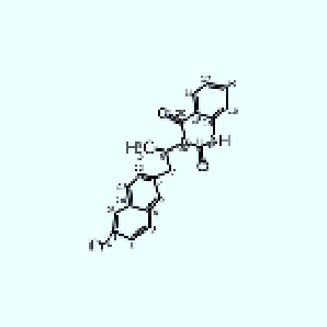 CC(C)c1ccc2cc(CC(C)n3c(=O)[nH]c4ccccc4c3=O)ccc2c1